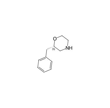 c1ccc(C[C@H]2CNCCO2)cc1